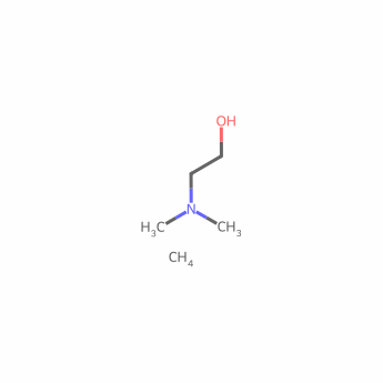 C.CN(C)CCO